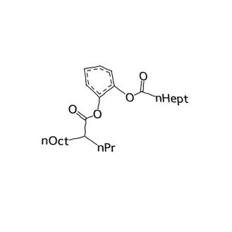 CCCCCCCCC(CCC)C(=O)Oc1ccccc1OC(=O)CCCCCCC